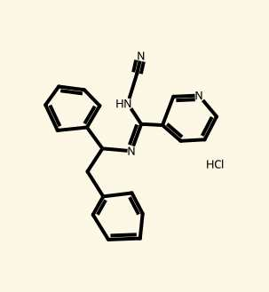 Cl.N#CN/C(=N\C(Cc1ccccc1)c1ccccc1)c1cccnc1